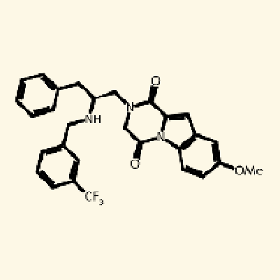 COc1ccc2c(c1)cc1n2C(=O)CN(C[C@H](Cc2ccccc2)NCc2cccc(C(F)(F)F)c2)C1=O